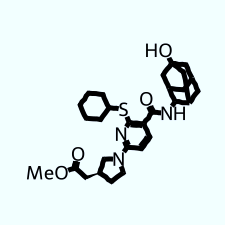 COC(=O)C[C@@H]1CCN(c2ccc(C(=O)NC3C4CC5CC3CC(O)(C5)C4)c(SC3CCCCC3)n2)C1